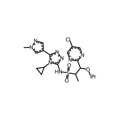 CC(C)OC(c1ncc(Cl)cn1)C(C)S(=O)(=O)Nc1nnc(-c2cnn(C)c2)n1C1CC1